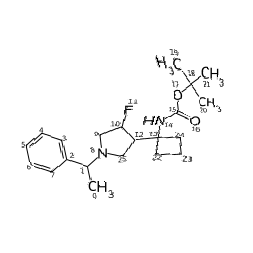 CC(c1ccccc1)N1CC(F)C(C2(NC(=O)OC(C)(C)C)CCC2)C1